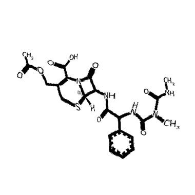 CNC(=O)N(C)C(=O)NC(C(=O)NC1C(=O)N2C(C(=O)O)=C(COC(C)=O)CS[C@@H]12)c1ccccc1